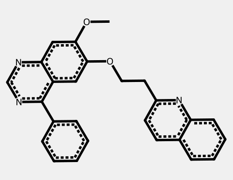 COc1cc2ncnc(-c3ccccc3)c2cc1OCCc1ccc2ccccc2n1